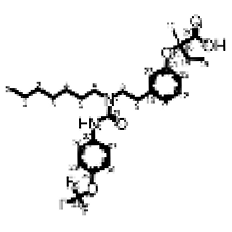 CCCCCCCN(CCc1cccc(O[C@@](C)(CC)C(=O)O)c1)C(=O)Nc1ccc(OC(F)(F)F)cc1